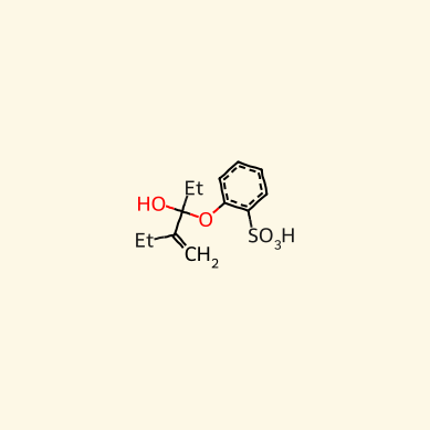 C=C(CC)C(O)(CC)Oc1ccccc1S(=O)(=O)O